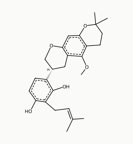 COc1c2c(cc3c1CCC(C)(C)O3)OC[C@@H](c1ccc(O)c(CC=C(C)C)c1O)C2